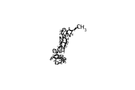 CC#Cc1cnc2c(c1)OCCN2c1ccc2cnc(CNC(=O)c3cc(F)c4c(c3)S(=O)(=O)[C@@H](F)COC4)cc2n1